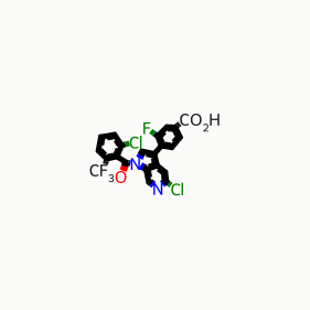 O=C(O)c1ccc(-c2cn(C(=O)c3c(Cl)cccc3C(F)(F)F)c3cnc(Cl)cc23)c(F)c1